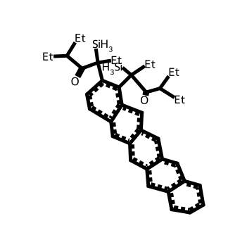 CCC(CC)C(=O)C([SiH3])(CC)c1ccc2cc3cc4cc5ccccc5cc4cc3cc2c1C([SiH3])(CC)C(=O)C(CC)CC